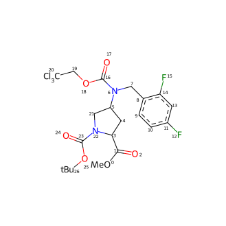 COC(=O)C1CC(N(Cc2ccc(F)cc2F)C(=O)OCC(Cl)(Cl)Cl)CN1C(=O)OC(C)(C)C